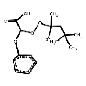 CC(C)(C)CC(C)(C)OOC(Oc1ccccc1)C(=O)O